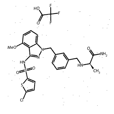 COc1cccc2c1c(NS(=O)(=O)c1ccc(Cl)s1)nn2Cc1cccc(CN[C@H](C)C(N)=O)c1.O=C(O)C(F)(F)F